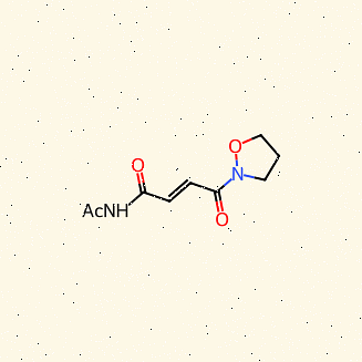 CC(=O)NC(=O)/C=C/C(=O)N1CCCO1